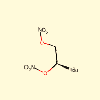 [CH2]CCC[C@H](CO[N+](=O)[O-])O[N+](=O)[O-]